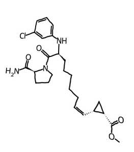 COC(=O)[C@H]1C[C@H]1/C=C\CCCCC[C@H](Nc1cccc(Cl)c1)C(=O)N1CCC[C@H]1C(N)=O